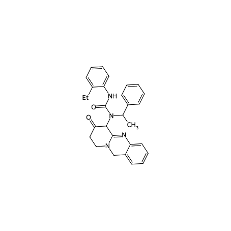 CCc1ccccc1NC(=O)N(C1C(=O)CCN2Cc3ccccc3N=C12)C(C)c1ccccc1